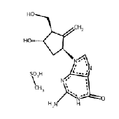 C=C1[C@H](CO)[C@@H](O)C[C@@H]1n1cnc2c(=O)[nH]c(N)nc21.CS(=O)(=O)O